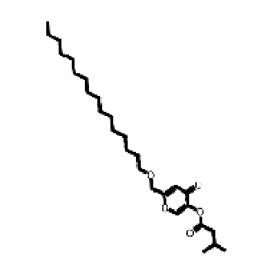 CCCCCCCCCCCCCCCCOCc1cc(=O)c(OC(=O)CC(C)C)co1